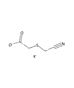 N#CCSCC(=O)[O-].[K+]